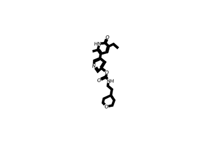 CCc1cc(-c2cncc(OC(=O)NCCC3CCOCC3)c2)c(C)[nH]c1=O